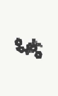 CC1(C)C[C@H](c2ccccc2)Nc2c(C(=O)N3CC4CC4(c4ccncc4)C3)cnn21